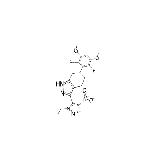 CCn1ncc([N+](=O)[O-])c1-c1n[nH]c2c1CCC(c1c(F)c(OC)cc(OC)c1F)C2